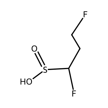 O=S(O)C(F)CCF